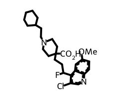 COc1ccc2ncc(Cl)c(C(F)CCC3(C(=O)O)CCN(CCC4CCCCC4)CC3)c2c1